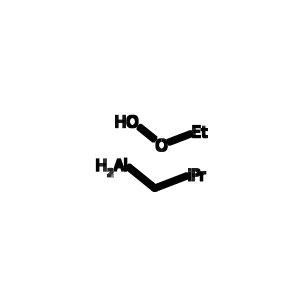 CC(C)[CH2][AlH2].CCOO